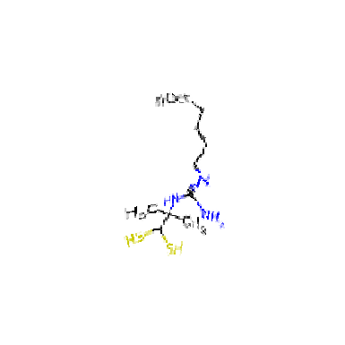 CCCCCCCCCCCCN=C(N)NC(C)(C)C(S)S